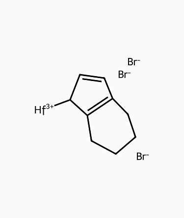 [Br-].[Br-].[Br-].[Hf+3][CH]1C=CC2=C1CCCC2